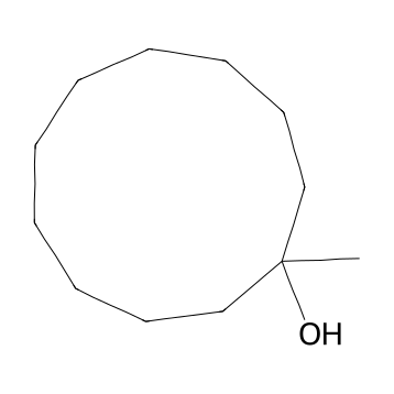 CC1(O)CCCCCCCCCC1